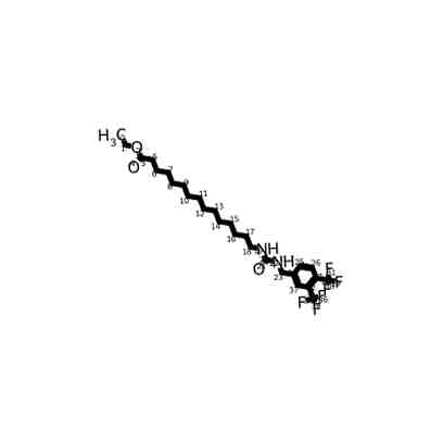 CCOC(=O)CCCCCCCCCCCCCCNC(=O)NCc1ccc(C(F)(F)F)c(C(F)(F)F)c1